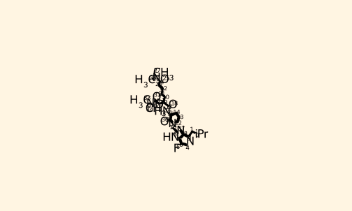 CC(C)Cc1ncc(F)c2[nH]c(Cn3cccc(NC(=O)C(CC/C=C/C(=O)N(C)C)OC(=O)N(C)C)c3=O)nc12